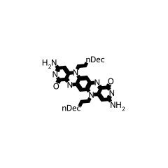 CCCCCCCCCCCCn1c2cc(N)nc(=O)c-2nc2cc3c(cc21)nc1c(=O)nc(N)cc-1n3CCCCCCCCCCCC